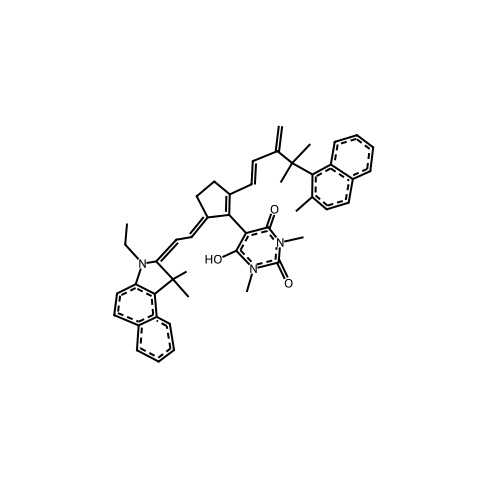 C=C(/C=C/C1=C(c2c(O)n(C)c(=O)n(C)c2=O)C(=C/C=C2/N(CC)c3ccc4ccccc4c3C2(C)C)/CC1)C(C)(C)c1c(C)ccc2ccccc12